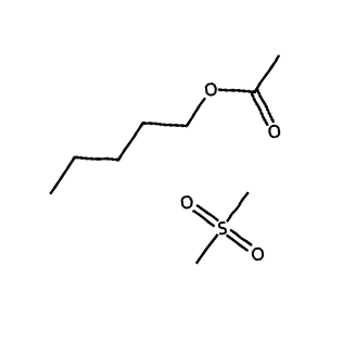 CCCCCOC(C)=O.CS(C)(=O)=O